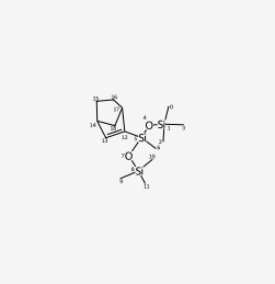 C[Si](C)(C)O[Si](C)(O[Si](C)(C)C)C1=CC2CCC1C2